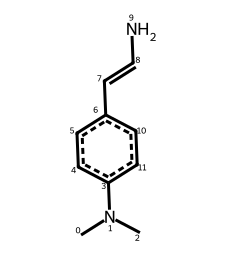 CN(C)c1ccc(C=CN)cc1